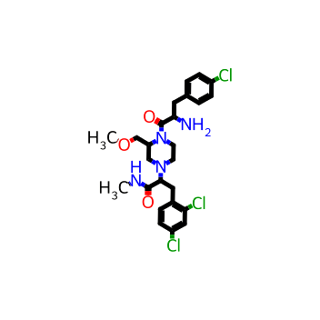 CNC(=O)C(Cc1ccc(Cl)cc1Cl)N1CCN(C(=O)C(N)Cc2ccc(Cl)cc2)C(COC)C1